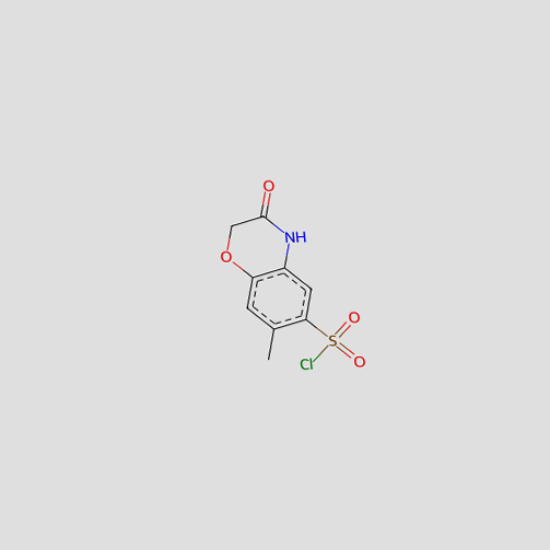 Cc1cc2c(cc1S(=O)(=O)Cl)NC(=O)CO2